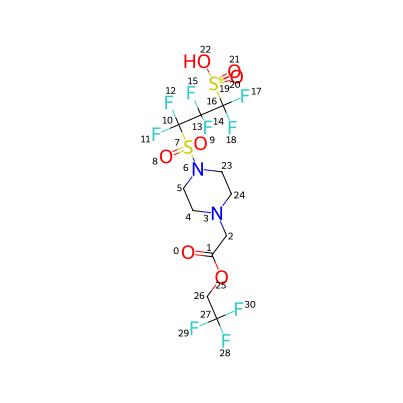 O=C(CN1CCN(S(=O)(=O)C(F)(F)C(F)(F)C(F)(F)S(=O)(=O)O)CC1)OCC(F)(F)F